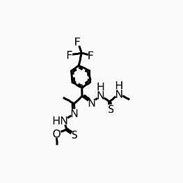 CNC(=S)N/N=C(/C(C)=N/NC(=S)OC)c1ccc(C(F)(F)F)cc1